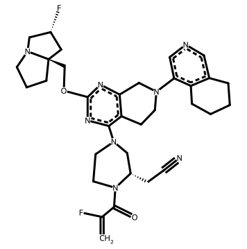 C=C(F)C(=O)N1CCN(c2nc(OC[C@@]34CCCN3C[C@H](F)C4)nc3c2CCN(c2cncc4c2CCCC4)C3)C[C@@H]1CC#N